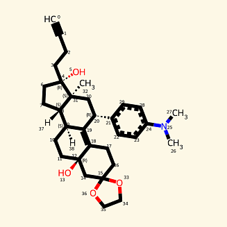 C#CCC[C@]1(O)CC[C@H]2[C@@H]3CC[C@@]4(O)CC5(CCC4=C3[C@@H](c3ccc(N(C)C)cc3)C[C@@]21C)OCCO5